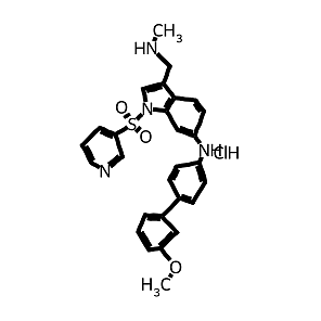 CNCc1cn(S(=O)(=O)c2cccnc2)c2cc(Nc3ccc(-c4cccc(OC)c4)cc3)ccc12.Cl